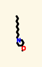 CCCCCCCCCN1CCC(OC)CC1